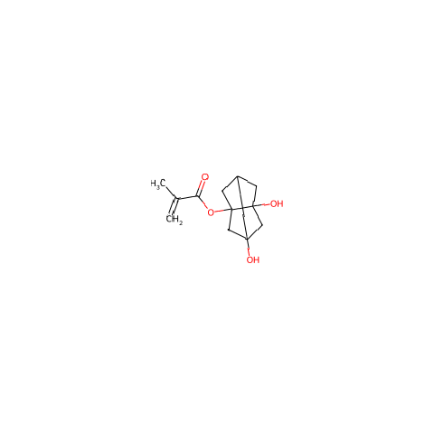 C=C(C)C(=O)OC12CC3CC1(O)CC3(O)C2